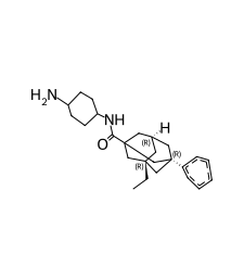 CC[C@]12C[C@H]3CC(C(=O)NC4CCC(N)CC4)(C1)C[C@@](c1ccccc1)(C3)C2